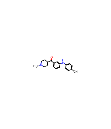 CN1CCC(C(=O)c2cccc(Nc3ccc(C#N)cc3)c2)CC1